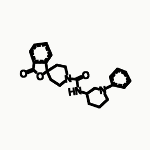 O=C1OC2(CCN(C(=O)NC3CCCN(c4ccccc4)C3)CC2)c2ccccc21